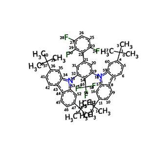 CC(C)(C)c1ccc2c3ccc(C(C)(C)C)cc3n(-c3cc(-c4c(F)ccc(F)c4F)cc(-n4c5cc(C(C)(C)C)ccc5c5ccc(C(C)(C)C)cc54)c3C(F)(F)F)c2c1